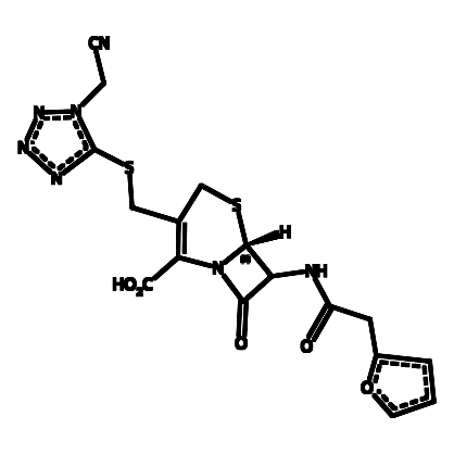 N#CCn1nnnc1SCC1=C(C(=O)O)N2C(=O)C(NC(=O)Cc3ccco3)[C@H]2SC1